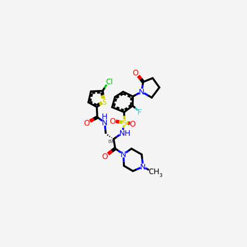 CN1CCN(C(=O)[C@H](CNC(=O)c2ccc(Cl)s2)NS(=O)(=O)c2cccc(N3CCCC3=O)c2F)CC1